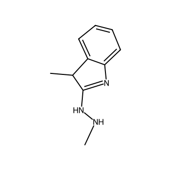 CNNC1=Nc2ccccc2C1C